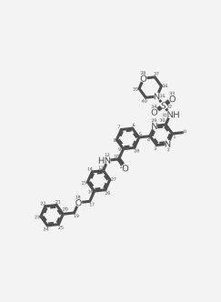 Cc1ncc(-c2cccc(C(=O)Nc3ccc(COCc4ccccc4)cc3)c2)nc1NS(=O)(=O)N1CCOCC1